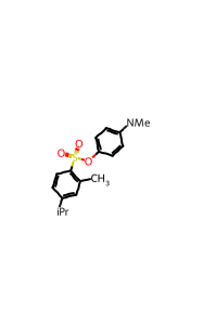 CNc1ccc(OS(=O)(=O)c2ccc(C(C)C)cc2C)cc1